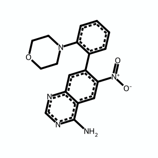 Nc1ncnc2cc(-c3ccccc3N3CCOCC3)c([N+](=O)[O-])cc12